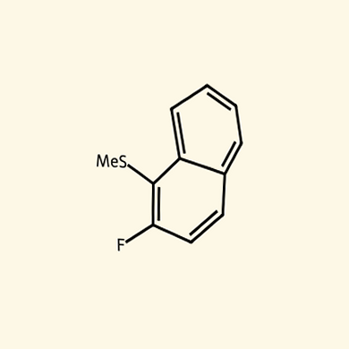 CSc1c(F)ccc2ccccc12